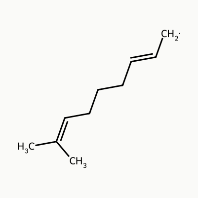 [CH2]C=CCCCC=C(C)C